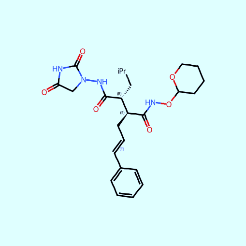 CC(C)C[C@@H](C(=O)NN1CC(=O)NC1=O)[C@H](C/C=C/c1ccccc1)C(=O)NOC1CCCCO1